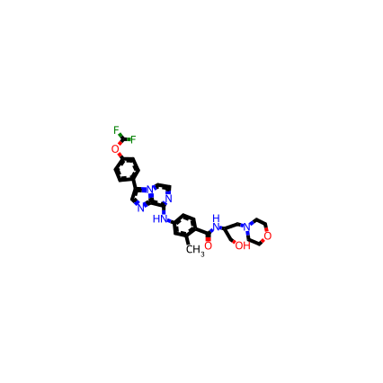 Cc1cc(Nc2nccn3c(-c4ccc(OC(F)F)cc4)cnc23)ccc1C(=O)NC(CO)CN1CCOCC1